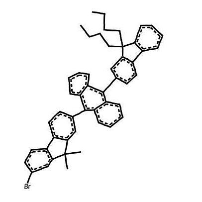 CCCCC1(CCCC)c2ccccc2-c2ccc(-c3c4ccccc4c(-c4ccc5c(c4)C(C)(C)c4cc(Br)ccc4-5)c4ccccc34)cc21